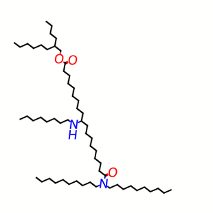 CCCCCCCCCCN(CCCCCCCCCC)C(=O)CCCCCCCCC(CCCCCCCCC(=O)OCC(CCCC)CCCCCC)NCCCCCCCC